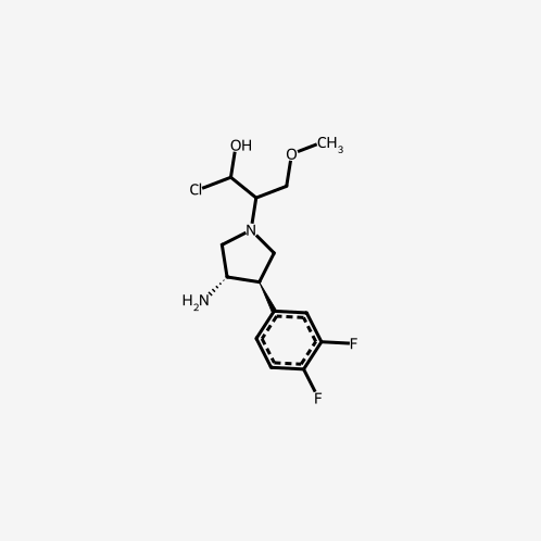 COCC(C(O)Cl)N1C[C@@H](N)[C@H](c2ccc(F)c(F)c2)C1